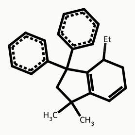 CCC1CC=CC2=C1C(c1ccccc1)(c1ccccc1)CC2(C)C